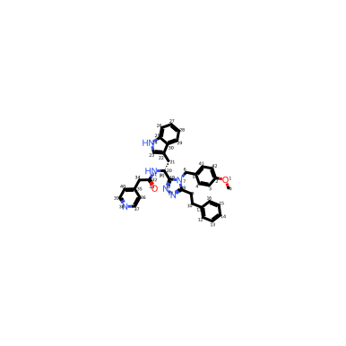 COc1ccc(Cn2c(CCc3ccccc3)nnc2[C@@H](Cc2c[nH]c3ccccc23)NC(=O)Cc2ccncc2)cc1